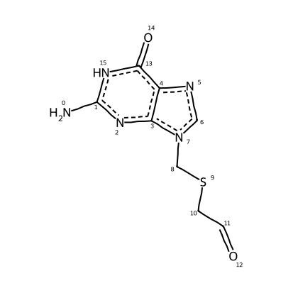 Nc1nc2c(ncn2CSCC=O)c(=O)[nH]1